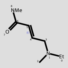 CCN(C)C/C=C/C(=O)NC